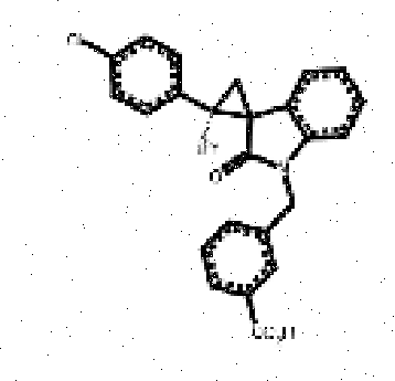 CC(C)[C@]1(c2ccc(Cl)cc2)CC12C(=O)N(Cc1cccc(C(=O)O)c1)c1ccccc12